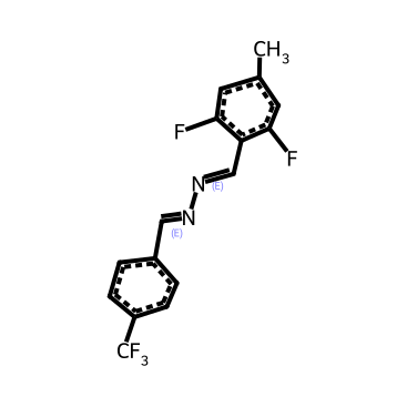 Cc1cc(F)c(/C=N/N=C/c2ccc(C(F)(F)F)cc2)c(F)c1